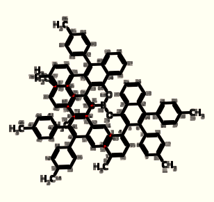 Cc1ccc(-c2c(-c3ccc(C)cc3)c(-c3ccc(C)cc3)c3ccccc3c2OB(Oc2c(-c3ccc(C)cc3)c(-c3ccc(C)cc3)c(-c3ccc(C)cc3)c3ccccc23)Oc2c(-c3ccc(C)cc3)c(-c3ccc(C)cc3)c(-c3ccc(C)cc3)c3ccccc23)cc1